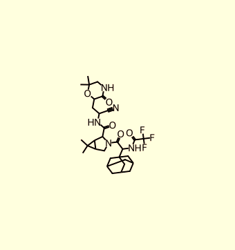 CC1(C)CNC(=O)C(CC(C#N)NC(=O)C2C3C(CN2C(=O)C(NC(=O)C(F)(F)F)C24CC5CC(CC(C5)C2)C4)C3(C)C)O1